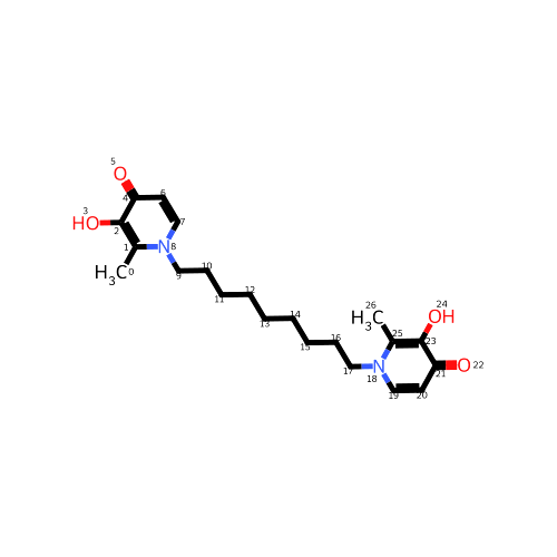 Cc1c(O)c(=O)ccn1CCCCCCCCCn1ccc(=O)c(O)c1C